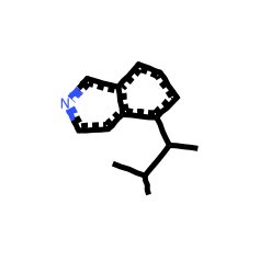 CC(C)C(C)c1cccc2cnccc12